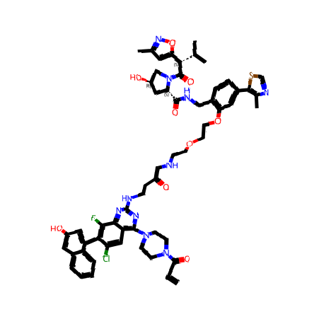 C=CC(=O)N1CCN(c2nc(NCCC(=O)CNCCOCCOc3cc(-c4scnc4C)ccc3CNC(=O)[C@@H]3C[C@@H](O)CN3C(=O)[C@H](c3cc(C)no3)C(C)C)nc3c(F)c(-c4cc(O)cc5ccccc45)c(Cl)cc23)CC1